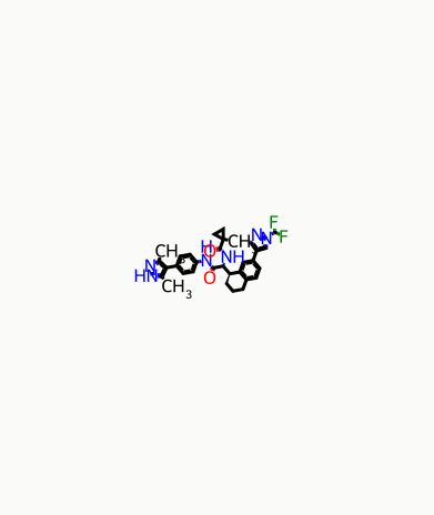 Cc1n[nH]c(C)c1-c1ccc(NC(=O)[C@@H](NC(=O)C2(C)CC2)[C@@H]2CCCc3ccc(-c4cnn(C(F)F)c4)cc32)cc1